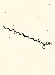 CCCCCOCC/C=C/CCCCOCCC(=O)O